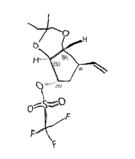 C=C[C@H]1C[C@H](OS(=O)(=O)C(F)(F)F)[C@H]2OC(C)(C)O[C@@H]21